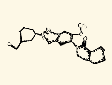 COc1cc2nn(C3CCCC(C=O)C3)cc2cc1-n1ccc2ccccc2c1=O